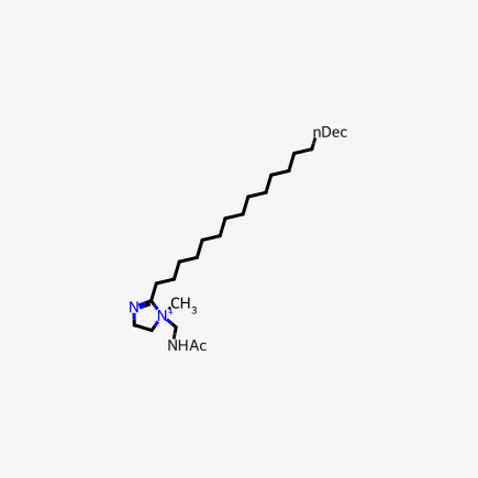 CCCCCCCCCCCCCCCCCCCCCCCCC1=NCC[N+]1(C)CNC(C)=O